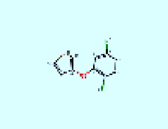 Fc1ccc(F)c(Oc2c[c]sc2)c1